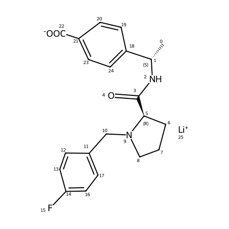 C[C@H](NC(=O)[C@H]1CCCN1Cc1ccc(F)cc1)c1ccc(C(=O)[O-])cc1.[Li+]